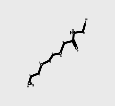 CCCOCCOCC(=O)NCI